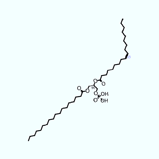 CCCCCCCC/C=C\CCCCCCCC(=O)O[C@H](COC(=O)CCCCCCCCCCCCCCCCC)COP(=O)(O)O